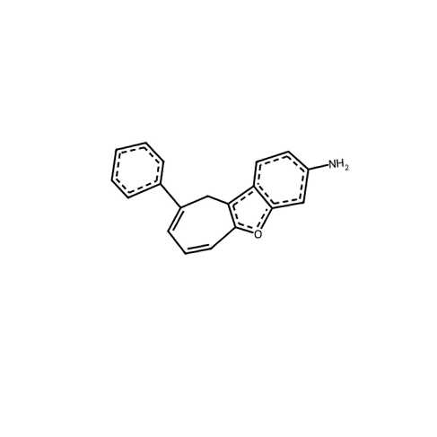 Nc1ccc2c3c(oc2c1)C=CC=C(c1ccccc1)C3